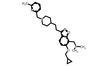 Cc1cccc(CN2CCC(CCc3noc4c(CN(C)C)c(OCC5CC5)ccc34)CC2)n1